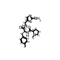 Cc1ccc(C[C@H](NC(=O)C2CCCN2C)C(=O)NCc2cnc(N)s2)cc1